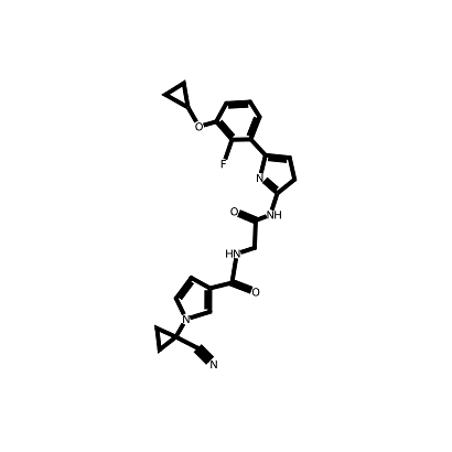 N#CC1(n2ccc(C(=O)NCC(=O)NC3=NC(c4cccc(OC5CC5)c4F)=CC3)c2)CC1